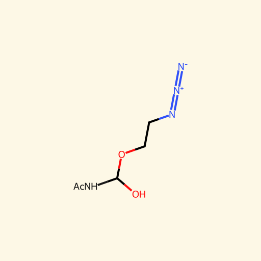 CC(=O)NC(O)OCCN=[N+]=[N-]